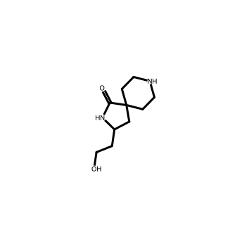 O=C1NC(CCO)CC12CCNCC2